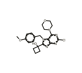 COc1ccc(Cn2c(C3(O)CCC3)nc3nc(Cl)nc(N4CCOCC4)c32)cc1